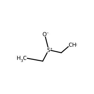 [CH]C[S+]([O-])CC